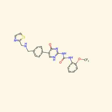 O=C(Nc1nc(=O)c(-c2ccc(CNCc3nccs3)cc2)c[nH]1)Nc1ccccc1OC(F)(F)F